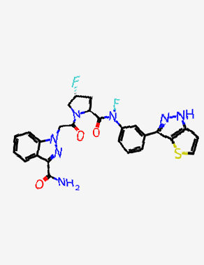 NC(=O)c1nn(CC(=O)N2C[C@H](F)C[C@H]2C(=O)N(F)c2cccc(-c3n[nH]c4ccsc34)c2)c2ccccc12